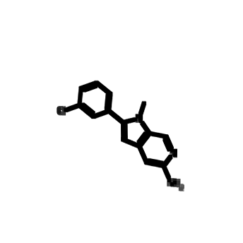 Cn1c(-c2cccc(Cl)c2)cc2cc(N)ncc21